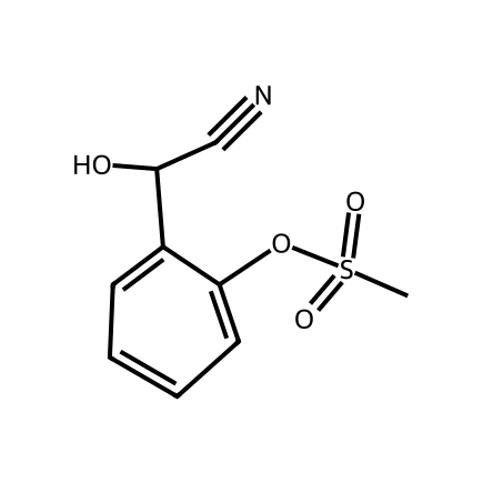 CS(=O)(=O)Oc1ccccc1C(O)C#N